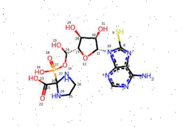 Nc1ncnc2c1nc(S)n2[C@@H]1O[C@H](C(O)OP(=O)(O)C2(C(=O)O)NCCN2)[C@@H](O)[C@H]1O